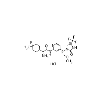 COC[C@H](c1ccnc(NC(=O)C(N)C2CCC(C)(F)CC2)c1)N1C[C@@H](C(F)(F)F)NC1=O.Cl